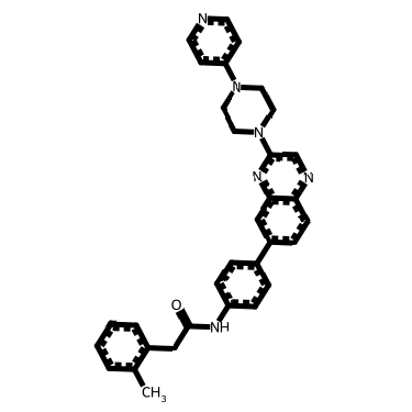 Cc1ccccc1CC(=O)Nc1ccc(-c2ccc3ncc(N4CCN(c5ccncc5)CC4)nc3c2)cc1